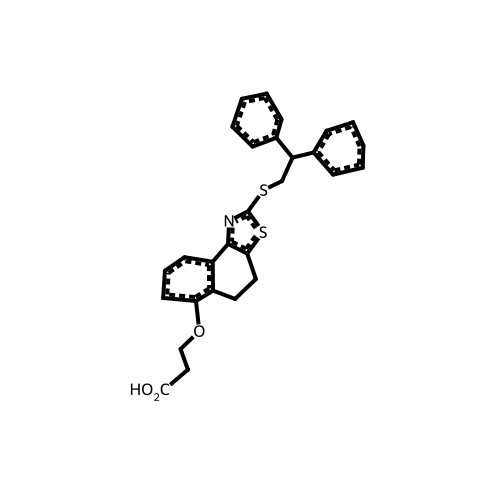 O=C(O)CCOc1cccc2c1CCc1sc(SCC(c3ccccc3)c3ccccc3)nc1-2